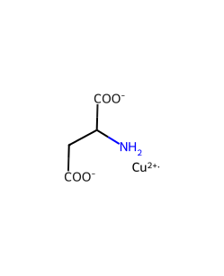 NC(CC(=O)[O-])C(=O)[O-].[Cu+2]